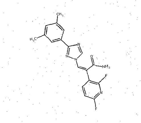 Cc1cc(C)cc(-c2ncn(/C=C(\C(N)=O)c3ccc(F)nc3F)n2)c1